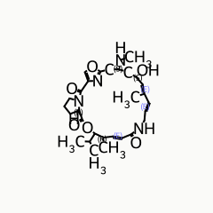 CN[C@@H]1Cc2nc(co2)C(=O)N2CCC[C@@H]2C(=O)OC(C(C)C)[C@H](C)/C=C/C(=O)NC/C=C/C(C)=C/[C@@H](O)C1